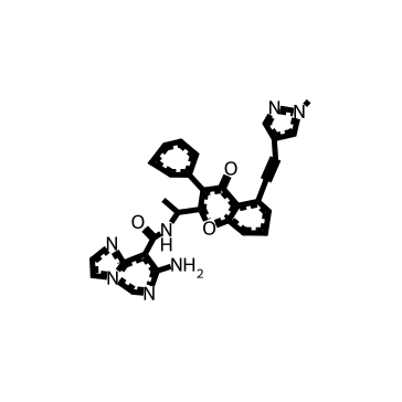 CC(NC(=O)c1c(N)ncn2ccnc12)c1oc2cccc(C#Cc3cnn(C)c3)c2c(=O)c1-c1ccccc1